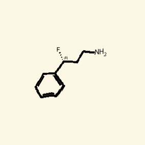 NCC[C@@H](F)c1ccccc1